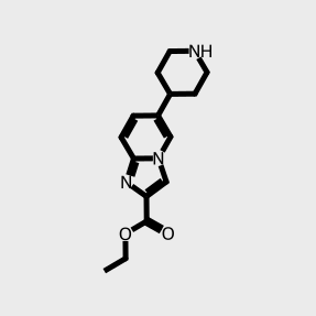 CCOC(=O)c1cn2cc(C3CCNCC3)ccc2n1